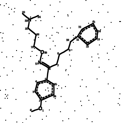 COc1ccc(C(CCCCc2ccccc2)=NOCCCN(C)C)cc1